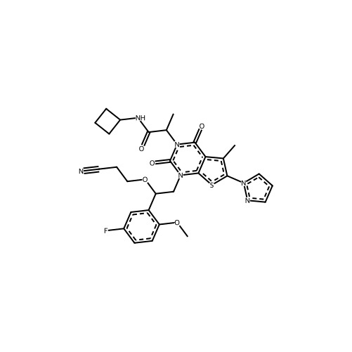 COc1ccc(F)cc1C(Cn1c(=O)n(C(C)C(=O)NC2CCC2)c(=O)c2c(C)c(-n3cccn3)sc21)OCCC#N